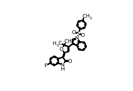 Cc1ccc(S(=O)(=O)n2cc(C3=C/C(=C4\C(=O)Nc5cc(F)ccc54)OC3(C)C)c3ccccc32)cc1